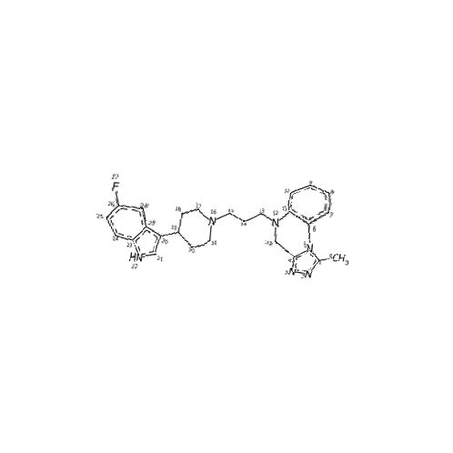 Cc1nnc2n1-c1ccccc1N(CCCN1CCC(c3c[nH]c4ccc(F)cc34)CC1)C2